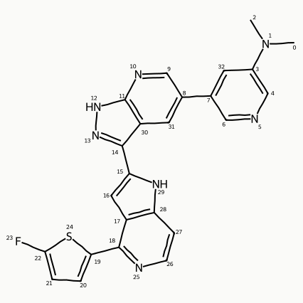 CN(C)c1cncc(-c2cnc3[nH]nc(-c4cc5c(-c6ccc(F)s6)nccc5[nH]4)c3c2)c1